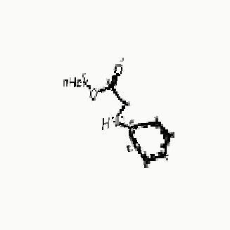 CCCCCCOC(=O)CNc1ccccc1